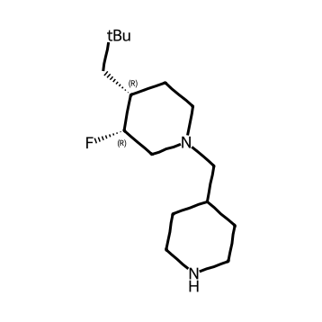 CC(C)(C)C[C@@H]1CCN(CC2CCNCC2)C[C@@H]1F